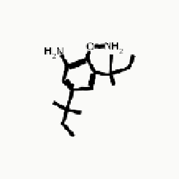 CCC(C)(C)c1cc(N)c(ON)c(C(C)(C)CC)c1